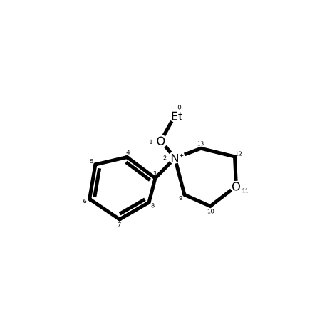 CCO[N+]1(c2cc[c]cc2)CCOCC1